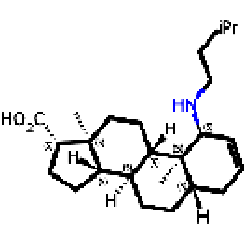 CC(C)CCN[C@H]1C=CC[C@@H]2CC[C@H]3[C@@H]4CC[C@H](C(=O)O)[C@@]4(C)CC[C@@H]3[C@]21C